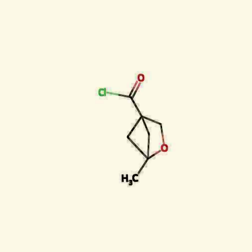 CC12CC(C(=O)Cl)(CO1)C2